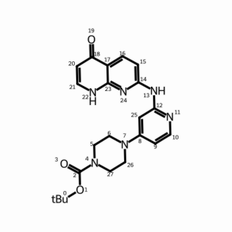 CC(C)(C)OC(=O)N1CCN(c2ccnc(Nc3ccc4c(=O)cc[nH]c4n3)c2)CC1